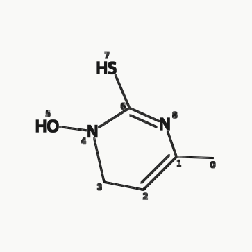 CC1=CCN(O)C(S)=N1